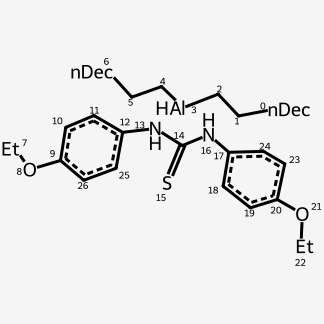 CCCCCCCCCCC[CH2][AlH][CH2]CCCCCCCCCCC.CCOc1ccc(NC(=S)Nc2ccc(OCC)cc2)cc1